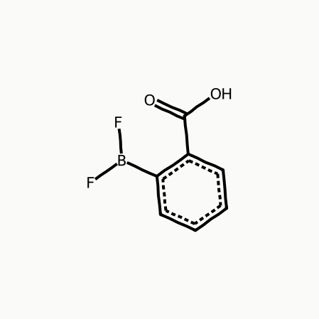 O=C(O)c1ccccc1B(F)F